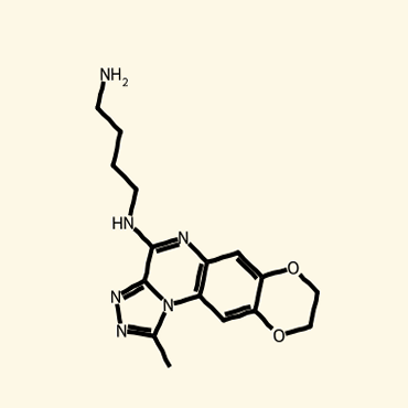 Cc1nnc2c(NCCCCN)nc3cc4c(cc3n12)OCCO4